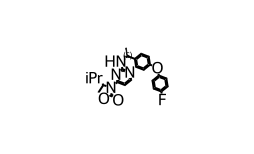 CC(C)C1COC(=O)N1c1ccnc(N[C@@H](C)c2ccc(Oc3ccc(F)cc3)cc2)n1